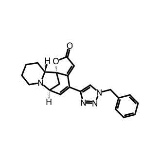 O=C1C=C2C(c3cn(Cc4ccccc4)nn3)=C[C@@H]3C[C@@]2(O1)[C@H]1CCCCN31